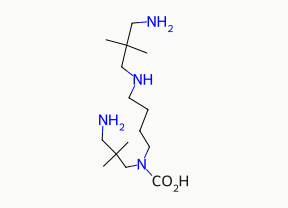 CC(C)(CN)CNCCCCN(CC(C)(C)CN)C(=O)O